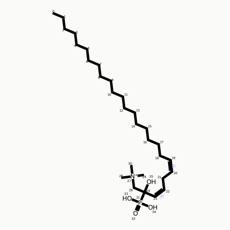 CCCCCCCCCCCCCCCCCCC/C=C\C/C=C\C(O)(C[N+](C)(C)C)P(=O)(O)O